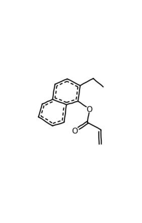 C=CC(=O)Oc1c(CC)ccc2ccccc12